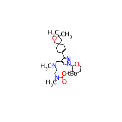 CN(CCN(C)C(=O)OC(C)(C)C)Cc1cn(C2CCCCO2)nc1C1=CCC2(CC1)COC(C)(C)C2